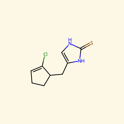 S=c1[nH]cc(CC2CCC=C2Cl)[nH]1